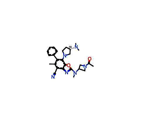 CC(=O)N1CC(N(C)c2nc3c(C#N)c(C)c(-c4ccccc4)c(N4CC[C@H](N(C)C)C4)c3o2)C1